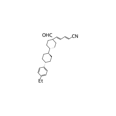 CCc1ccc([C@H]2CC[C@H]([C@H]3CC[C@](C=O)(C=CC=CC#N)CC3)CC2)cc1